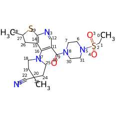 CCS(=O)(=O)N1CCN(C(=O)c2cnc3c(c2N2CCC(C)(C#N)CC2)CC(C)S3)CC1